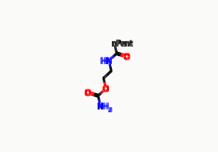 CCCCCC(=O)NCCOC(N)=O